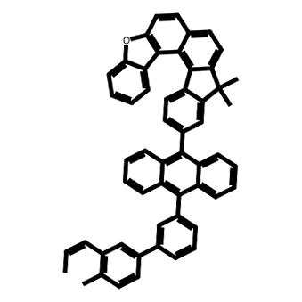 C/C=C\c1cc(-c2cccc(-c3c4ccccc4c(-c4ccc5c(c4)C(C)(C)c4ccc6ccc7oc8ccccc8c7c6c4-5)c4ccccc34)c2)ccc1C